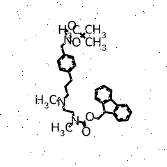 CN(CCCc1ccc(CN(C=O)OC(C)(C)C)cc1)CCN(C)C(=O)OCC1c2ccccc2-c2ccccc21